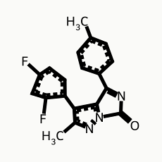 Cc1ccc(C2=NC(=O)n3nc(C)c(-c4ccc(F)cc4F)c32)cc1